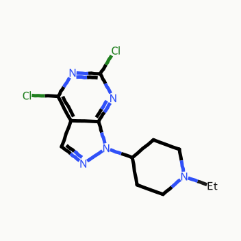 CCN1CCC(n2ncc3c(Cl)nc(Cl)nc32)CC1